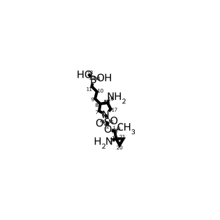 C[C@@H](OS(=O)(=O)N1CC(CCCB(O)O)[C@@H](N)C1)C1(N)CC1